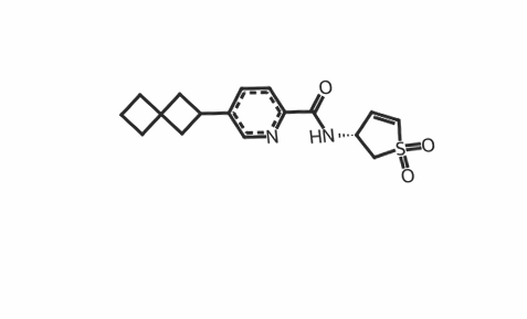 O=C(N[C@@H]1C=CS(=O)(=O)C1)c1ccc(C2CC3(CCC3)C2)cn1